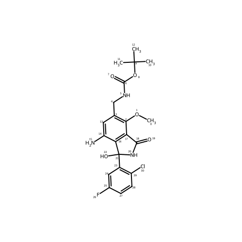 COc1c(CNC(=O)OC(C)(C)C)cc(N)c2c1C(=O)NC2(O)c1cc(F)ccc1Cl